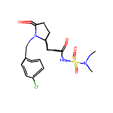 CN(C)S(=O)(=O)NC(=O)CC1CCC(=O)N1Cc1ccc(Cl)cc1